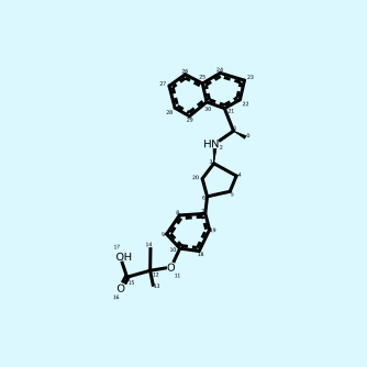 C[C@@H](N[C@H]1CCC(c2ccc(OC(C)(C)C(=O)O)cc2)C1)c1cccc2ccccc12